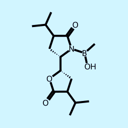 CB(O)N1C(=O)C(C(C)C)C[C@H]1[C@@H]1CC(C(C)C)C(=O)O1